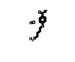 Cl.NCCCCOc1ccc([N+](=O)[O-])cc1